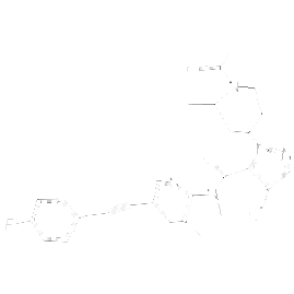 CC(=O)N1CCC(n2ncc(Cl)c2C(=O)Nc2ncc(C#Cc3ccc(F)cc3)cc2C)CC1C